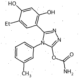 CCc1cc(-c2nnc(OC(N)=O)n2-c2cccc(C)c2)c(O)cc1O